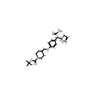 CC(C)(C)OC(=O)N1CCC(COc2ccc([C@H](C(=O)O)[C@H]3CC=NO3)cc2)CC1